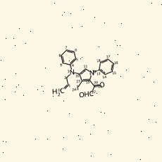 C=CCN(c1ccccc1)c1cn(-c2ccccc2)c(C(=O)C=O)c1I